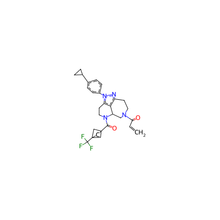 C=CC(=O)N1CCc2nn(-c3ccc(C4CC4)cc3)c3c2C(C1)N(C(=O)C12CC(C(F)(F)F)(C1)C2)CC3